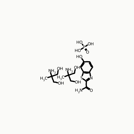 CC(N)(CO)CO.CC(N)(CO)CO.NC(=O)c1nc2ccc(O)cc2s1.O=P(O)(O)O